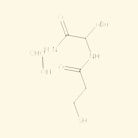 CCCCC(NC(=O)CCS)C(N)=O.O=CO